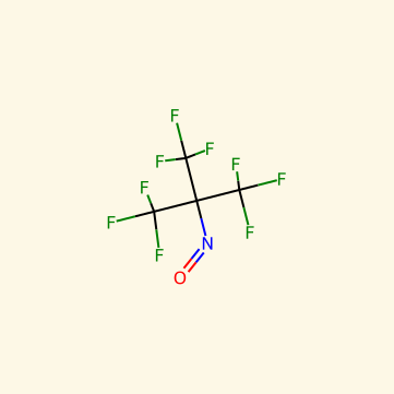 O=NC(C(F)(F)F)(C(F)(F)F)C(F)(F)F